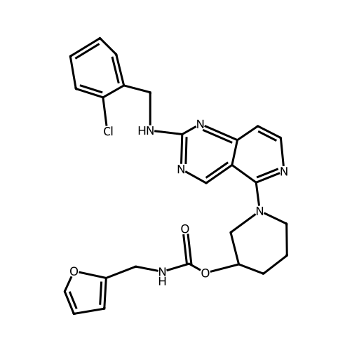 O=C(NCc1ccco1)OC1CCCN(c2nccc3nc(NCc4ccccc4Cl)ncc23)C1